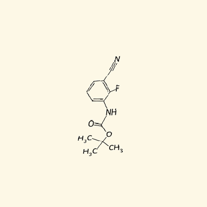 CC(C)(C)OC(=O)Nc1cccc(C#N)c1F